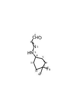 O=CC=NNC1CCC(F)(F)CC1